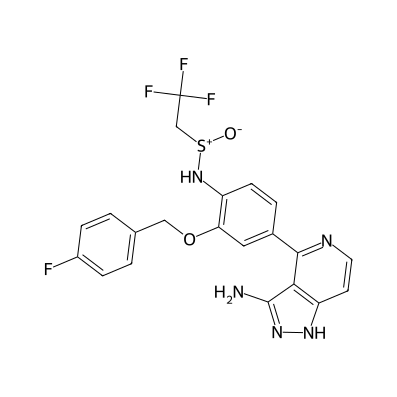 Nc1n[nH]c2ccnc(-c3ccc(N[S+]([O-])CC(F)(F)F)c(OCc4ccc(F)cc4)c3)c12